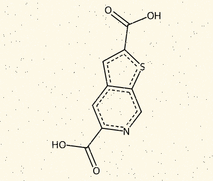 O=C(O)c1cc2cc(C(=O)O)sc2cn1